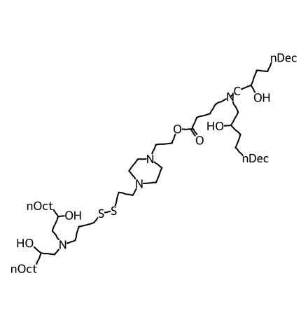 CCCCCCCCCCCCC(O)CN(CCCC(=O)OCCN1CCN(CCSSCCCN(CC(O)CCCCCCCC)CC(O)CCCCCCCC)CC1)CC(O)CCCCCCCCCCCC